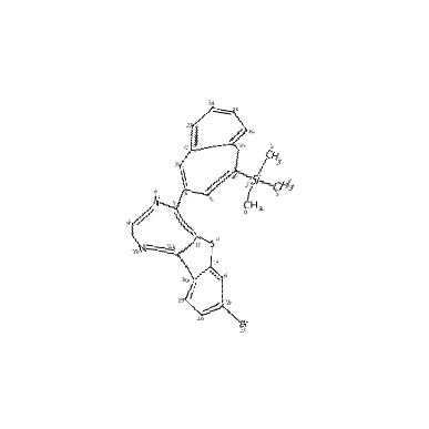 C[Si](C)(C)c1cc(-c2ncnc3c2sc2cc(Br)ccc23)cc2ccccc12